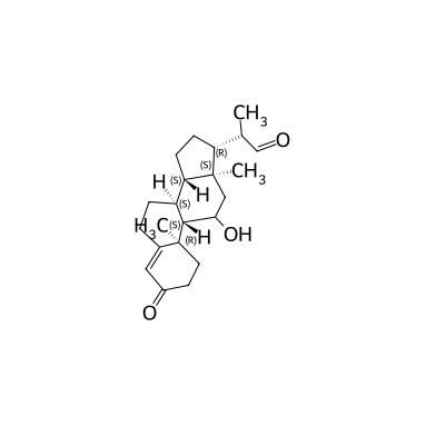 CC(C=O)[C@H]1CC[C@H]2[C@@H]3CCC4=CC(=O)CC[C@]4(C)[C@H]3C(O)C[C@]12C